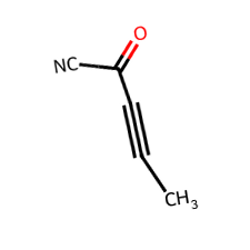 CC#CC(=O)C#N